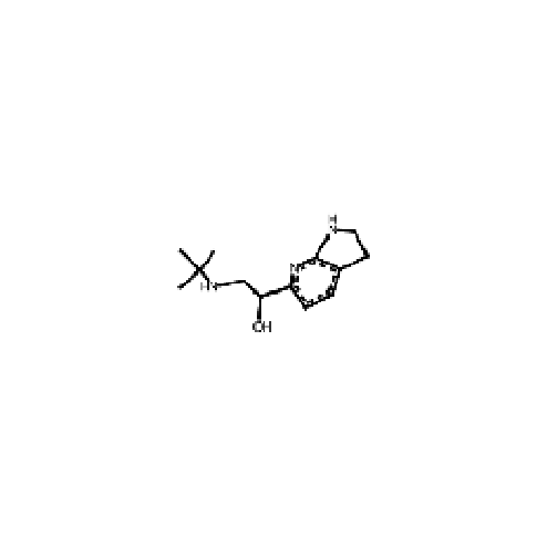 CC(C)(C)NC[C@H](O)c1ccc2c(n1)NCC2